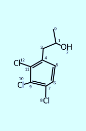 CC(O)Cc1ccc(Cl)c(Cl)c1Cl